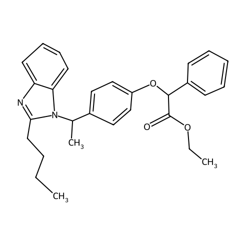 CCCCc1nc2ccccc2n1C(C)c1ccc(OC(C(=O)OCC)c2ccccc2)cc1